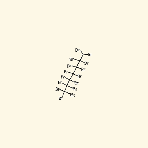 Br[C](Br)C(Br)(Br)C(Br)(Br)C(Br)(Br)C(Br)(Br)C(Br)(Br)C(Br)(Br)Br